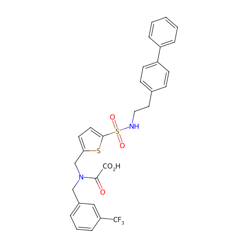 O=C(O)C(=O)N(Cc1cccc(C(F)(F)F)c1)Cc1ccc(S(=O)(=O)NCCc2ccc(-c3ccccc3)cc2)s1